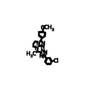 COc1ccc(-c2nnc3n2CCCN3C(C)c2nnn(-c3cccc(Cl)c3)n2)cc1